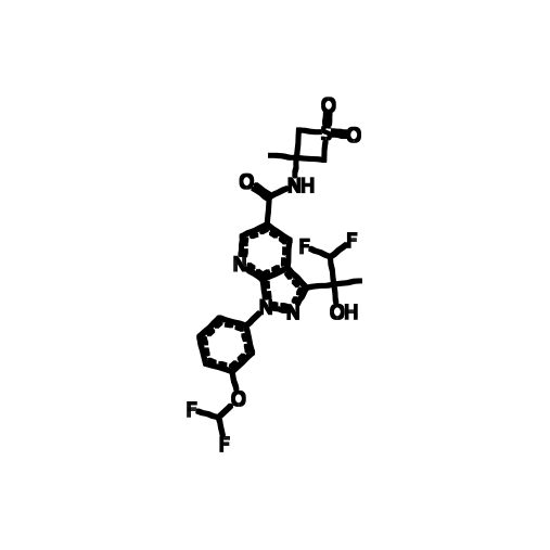 CC1(NC(=O)c2cnc3c(c2)c(C(C)(O)C(F)F)nn3-c2cccc(OC(F)F)c2)CS(=O)(=O)C1